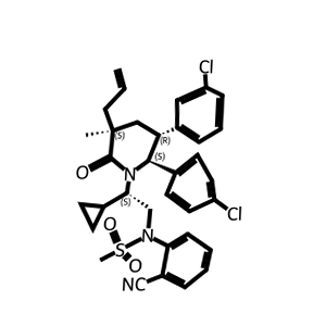 C=CC[C@@]1(C)C[C@H](c2cccc(Cl)c2)[C@@H](c2ccc(Cl)cc2)N([C@H](CN(c2ccccc2C#N)S(C)(=O)=O)C2CC2)C1=O